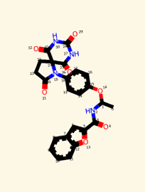 CC(NC(=O)c1cc2ccccc2o1)Oc1ccc(N2C(=O)CCC23C(=O)NC(=O)NC3=O)cc1